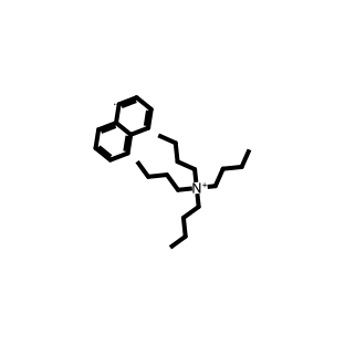 CCCC[N+](CCCC)(CCCC)CCCC.[c]1cccc2ccccc12